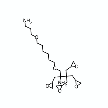 NCCCOCCCCCCOCC(N)(CC1CO1)C(CC1CO1)(CC1CO1)CC1CO1